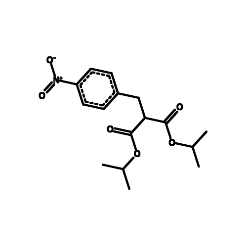 CC(C)OC(=O)C(Cc1ccc([N+](=O)[O-])cc1)C(=O)OC(C)C